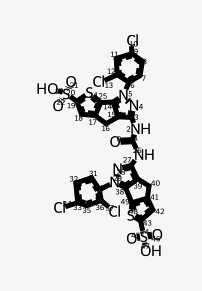 O=C(Nc1nn(-c2ccc(Cl)cc2Cl)c2c1Cc1cc(S(=O)(=O)O)sc1-2)Nc1nn(-c2ccc(Cl)cc2Cl)c2c1Cc1cc(S(=O)(=O)O)sc1-2